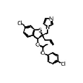 C=CCC1(Cn2ccnc2)Sc2cc(Cl)ccc2C1OC(C)Oc1ccc(Cl)cc1